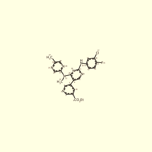 CCOC(=O)c1cncc(-c2cnc(Nc3ccc(F)c(Cl)c3)nc2N(C)c2cnc(C)cn2)c1